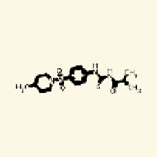 CC1CCN(S(=O)(=O)c2ccc(NC(=S)NC(=O)C(C)C)cc2)CC1